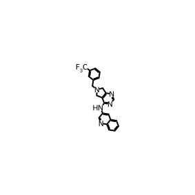 FC(F)(F)c1cccc(CN2Cc3ncnc(Nc4cnc5ccccc5c4)c3C2)c1